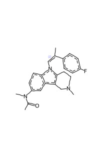 CC(=O)N(C)c1ccc2c(c1)c1c(n2/C=C(/C)c2ccc(F)cc2)CCN(C)C1